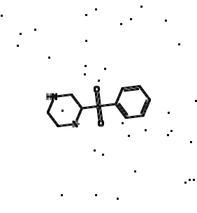 O=S(=O)(c1ccccc1)C1CNCC[N]1